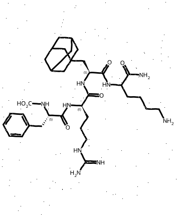 N=C(N)NCCC[C@@H](NC(=O)[C@H](Cc1ccccc1)NC(=O)O)C(=O)N[C@@H](CC12CC3CC(CC(C3)C1)C2)C(=O)NC(CCCCN)C(N)=O